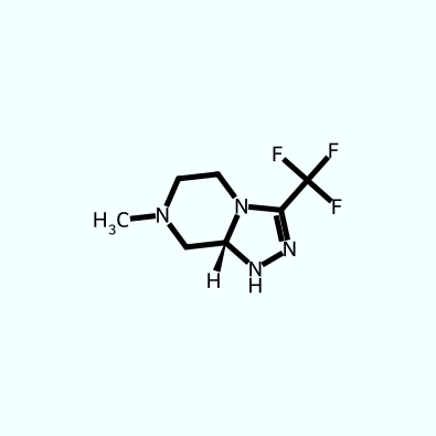 CN1CCN2C(C(F)(F)F)=NN[C@@H]2C1